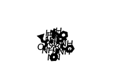 CC1([C@H](NC(=O)[C@@H](NC(=O)c2cnccn2)C2CCCCC2)C(=O)N2C[C@H]3[C@@H]([C@H]2C(=O)NC(CC2CC2)C(=O)C(N)=O)C3(C)C)CCCCC1